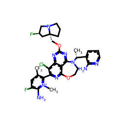 C[C@H](c1cccnc1N)N1CCOc2nc(-c3c(C(F)(F)F)cc(F)c(N)[n+]3C)c(Cl)c3nc(OC[C@@]45CCCN4C[C@H](F)C5)nc1c23